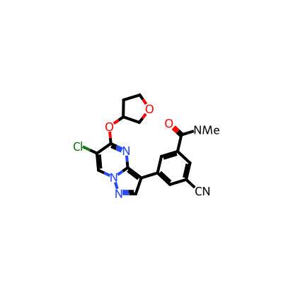 CNC(=O)c1cc(C#N)cc(-c2cnn3cc(Cl)c(OC4CCOC4)nc23)c1